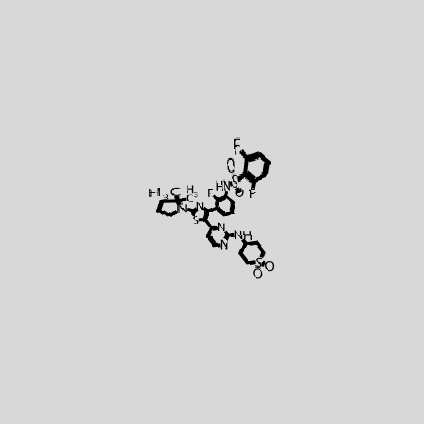 CC1(C)CCCN1c1nc(-c2cccc(NS(=O)(=O)c3c(F)cccc3F)c2F)c(-c2ccnc(NC3CCS(=O)(=O)CC3)n2)s1